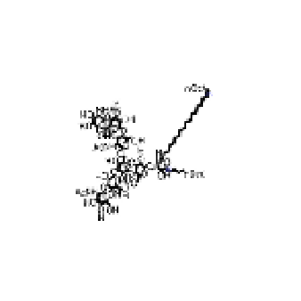 CCCCCCCC/C=C\CCCCCCCCCCCCCCCC(=O)N[C@@H](CO[C@@H]1OC(CO)[C@@H](O[C@@H]2OC(CO[C@@H]3OC(CO)[C@@H](O[C@@H]4OC(CO)[C@H](O[C@@H]5OC(CO)[C@H](O)[C@H](O)C5NC(C)=O)[C@H](O)C4O)[C@H](O)C3NC(C)=O)[C@H](O)[C@H](O[C@H]3OC(CO)[C@H](O)[C@H](O[C@@H]4OC(CO)[C@H](O)[C@H](O)C4NC(C)=O)C3O)C2O)[C@H](O)C1O)[C@H](O)/C=C/CCCCCCCCCCCCC